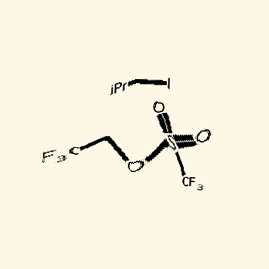 CC(C)I.O=S(=O)(OCC(F)(F)F)C(F)(F)F